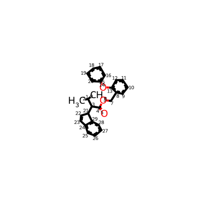 CC(C)C(C(=O)OCc1ccccc1Oc1ccccc1)C1C=Cc2ccccc21